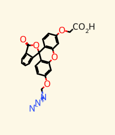 [N-]=[N+]=NCOc1ccc2c(c1)Oc1cc(OCC(=O)O)ccc1C21OC(=O)c2ccccc21